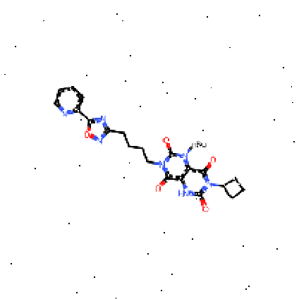 CCCCn1c(=O)n(CCCCc2noc(-c3ccccn3)n2)c(=O)c2[nH]c(=O)n(C3CCC3)c(=O)c21